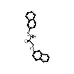 O=C(COc1ccc2ccccc2c1)NSc1ccc2ccccc2c1